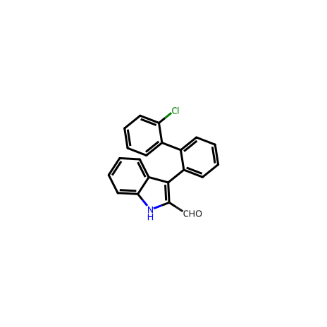 O=Cc1[nH]c2ccccc2c1-c1ccccc1-c1ccccc1Cl